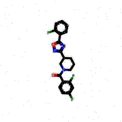 O=C(c1ccc(F)cc1F)N1CCCC(c2noc(-c3ccccc3F)n2)C1